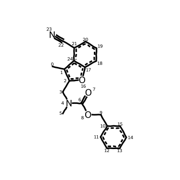 Cc1c(CN(C)C(=O)OCc2ccccc2)oc2cccc(C#N)c12